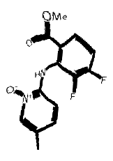 COC(=O)c1ccc(F)c(F)c1Nc1ccc(C)c[n+]1[O-]